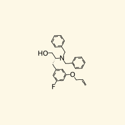 C=CCOc1cc(F)cc(C[C@H](CO)N(Cc2ccccc2)Cc2ccccc2)c1